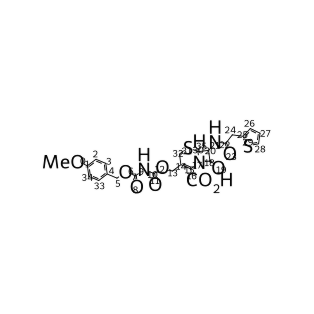 COc1ccc(COC(=O)NC(=O)OCC2=C(C(=O)O)N3C(=O)C(NC(=O)Cc4cccs4)[C@H]3SC2)cc1